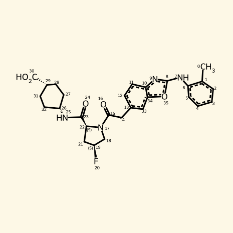 Cc1ccccc1Nc1nc2ccc(CC(=O)N3C[C@@H](F)C[C@H]3C(=O)N[C@H]3CC[C@@H](C(=O)O)CC3)cc2o1